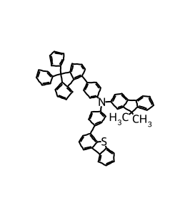 CC1(C)c2ccccc2-c2ccc(N(c3ccc(-c4cccc5c4-c4ccccc4C5(c4ccccc4)c4ccccc4)cc3)c3ccc(-c4cccc5c4sc4ccccc45)cc3)cc21